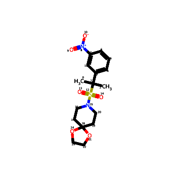 CC(C)(c1cccc([N+](=O)[O-])c1)S(=O)(=O)N1CCC2(CC1)OCCO2